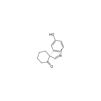 C/N=C\[C@]1(c2cccc(O)c2)CCCCC1=O